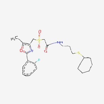 Cc1oc(-c2ccccc2F)nc1CS(=O)(=O)CC(=O)NCCCSC1CCCCC1